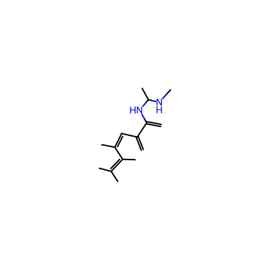 C=C(/C=C(/C)C(C)=C(C)C)C(=C)NC(C)NC